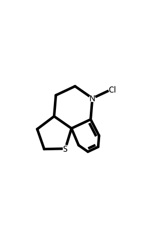 ClN1CCC2CCSC23CC=CC=C13